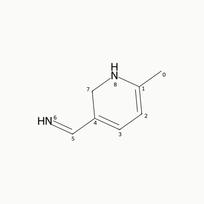 CC1=CC=C(C=N)CN1